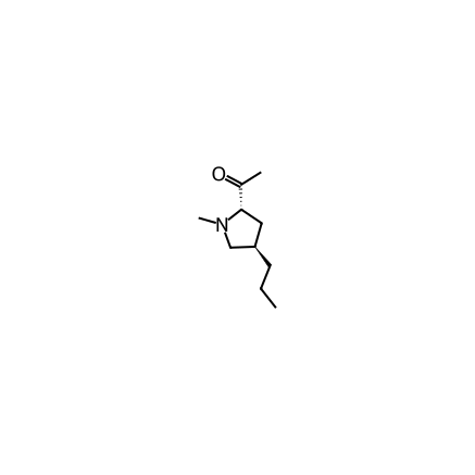 CCC[C@@H]1C[C@@H](C(C)=O)N(C)C1